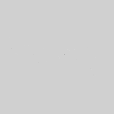 Cc1cc(Nc2ccc3[nH]c(NCc4ccc(Oc5ncc(Cl)cn5)cc4)nc3c2)n[nH]1